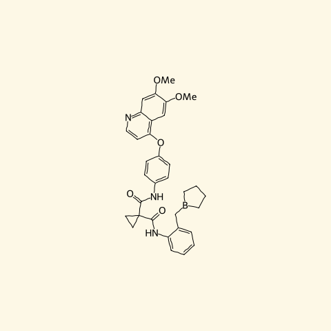 COc1cc2nccc(Oc3ccc(NC(=O)C4(C(=O)Nc5ccccc5CB5CCCC5)CC4)cc3)c2cc1OC